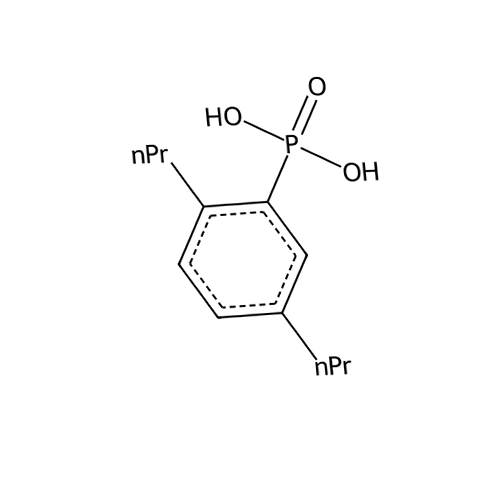 CCCc1ccc(CCC)c(P(=O)(O)O)c1